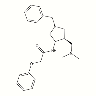 CN(C)C[C@@H]1CN(Cc2ccccc2)CC1NC(=O)COc1ccccc1